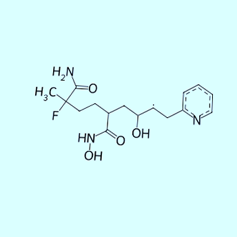 CC(F)(CCC(CC(O)[CH]Cc1ccccn1)C(=O)NO)C(N)=O